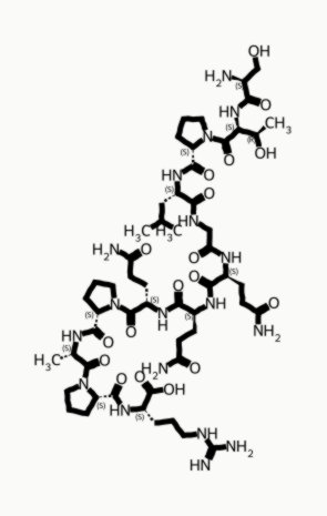 CC(C)C[C@H](NC(=O)[C@@H]1CCCN1C(=O)[C@@H](NC(=O)[C@@H](N)CO)[C@@H](C)O)C(=O)NCC(=O)N[C@@H](CCC(N)=O)C(=O)N[C@@H](CCC(N)=O)C(=O)N[C@@H](CCC(N)=O)C(=O)N1CCC[C@H]1C(=O)N[C@@H](C)C(=O)N1CCC[C@H]1C(=O)N[C@@H](CCCNC(=N)N)C(=O)O